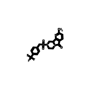 Cc1ccc2c(n1)C1CN(S(=O)(=O)Cc3ccc(C(F)(F)F)cc3)CCN1C2=O